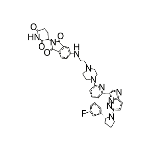 O=C1CCC(N2C(=O)c3ccc(NCCN4CCN(c5cccc(-c6cnc7ccc(N8CCC[C@@H]8c8cccc(F)c8)nn67)n5)CC4)cc3C2=O)C(=O)N1